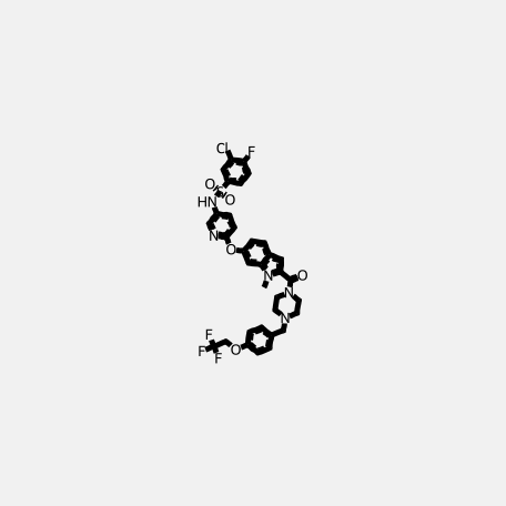 Cn1c(C(=O)N2CCN(Cc3ccc(OCC(F)(F)F)cc3)CC2)cc2ccc(Oc3ccc(NS(=O)(=O)c4ccc(F)c(Cl)c4)cn3)cc21